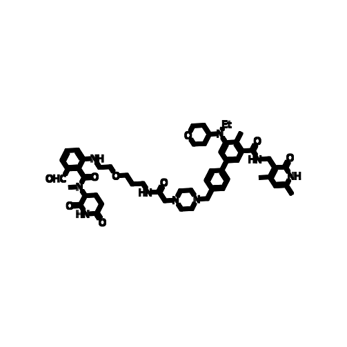 CCN(c1cc(-c2ccc(CN3CCN(CC(=O)NCCCOCCNc4cccc(C=O)c4C(=O)N(C)C4CCC(=O)NC4=O)CC3)cc2)cc(C(=O)NCc2c(C)cc(C)[nH]c2=O)c1C)C1CCOCC1